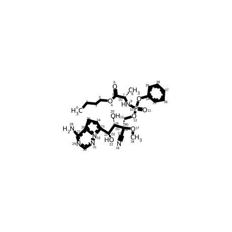 CCCCOC(=O)[C@H](C)NP(=O)(OC[C@@](C#N)(OC)[C@@H](O)[C@@H](O)c1ccc2c(N)ncnn12)Oc1ccccc1